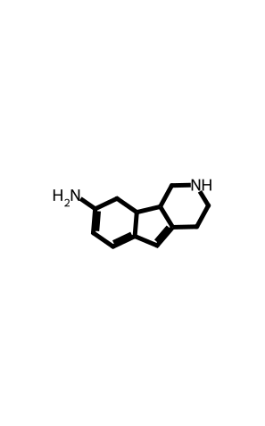 NC1=CC=C2C=C3CCNCC3C2C1